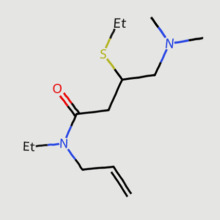 C=CCN(CC)C(=O)CC(CN(C)C)SCC